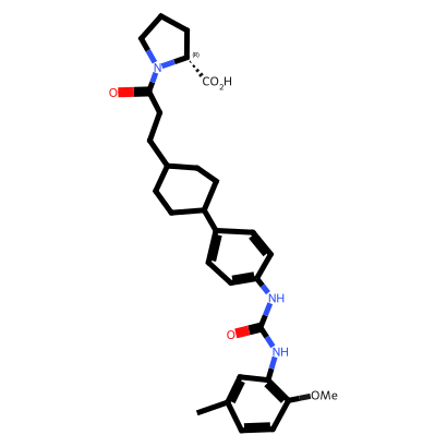 COc1ccc(C)cc1NC(=O)Nc1ccc(C2CCC(CCC(=O)N3CCC[C@@H]3C(=O)O)CC2)cc1